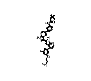 CN(C)CCOc1cc(F)cc(-c2ccnc3[nH]c(-c4n[nH]c5ccc(-c6cncc(NC(=O)CC(C)(C)C)c6)cc45)nc23)c1